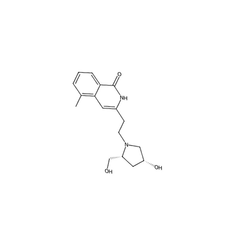 Cc1cccc2c(=O)[nH]c(CCN3C[C@H](O)C[C@@H]3CO)cc12